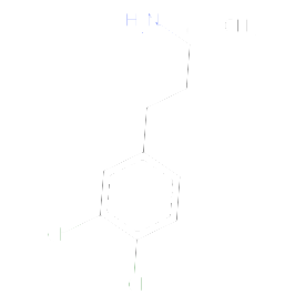 C[C@@H](N)CCc1ccc(Cl)c(Cl)c1